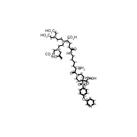 C=C(O)CN(CCN(CCN(CC(=O)O)CC(=O)O)[C@@H](CCC(=O)NCCCC[C@H](N)C(=O)N1CCC(C(=O)NO)(S(=O)(=O)c2ccc(Oc3cccnc3)cc2)CC1)C(=O)O)CC(=O)O